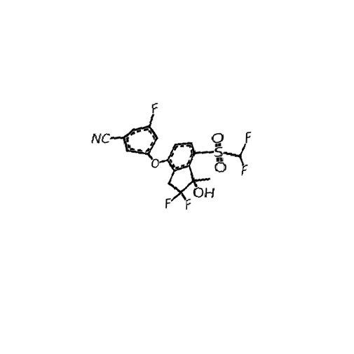 CC1(O)c2c(S(=O)(=O)C(F)F)ccc(Oc3cc(F)cc(C#N)c3)c2CC1(F)F